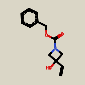 C=CC1(O)CN(C(=O)OCc2ccccc2)C1